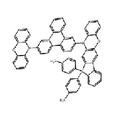 Cc1ccc([Si]2(c3ccc(C)cc3)c3ccccc3-c3cc4c(cc32)N(c2ccc3c5ccc(N6c7ccccc7Oc7ccccc76)cc5c5ccccc5c3c2)c2ccccc2O4)cc1